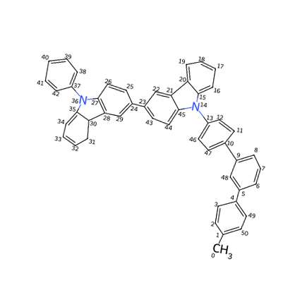 Cc1ccc(-c2cccc(-c3ccc(-n4c5ccccc5c5cc(-c6ccc7c(c6)C6CC=CC=C6N7c6ccccc6)ccc54)cc3)c2)cc1